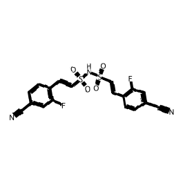 N#Cc1ccc(/C=C/S(=O)(=O)NS(=O)(=O)/C=C/c2ccc(C#N)cc2F)c(F)c1